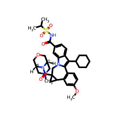 COc1ccc2c(c1)C1CC1(C(=O)N1[C@@H]3COC[C@H]1CN(C)C3)Cn1c-2c(C2CCCCC2)c2ccc(C(=O)NS(=O)(=O)C(C)C)cc21